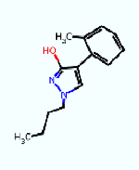 CCCCn1cc(-c2ccccc2C)c(O)n1